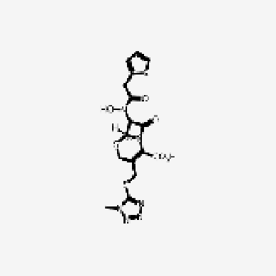 Cn1nnnc1SCC1=C(C(=O)O)N2C(=O)C(N(O)C(=O)Cc3cccs3)[C@H]2SC1